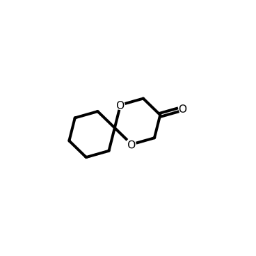 O=C1COC2(CCCCC2)OC1